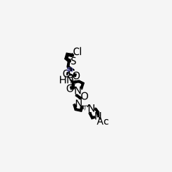 CC(=O)N1CCN(C[C@@H]2CCCN2C(=O)CN2CCC[C@H](NS(=O)(=O)/C=C/c3ccc(Cl)s3)C2=O)CC1